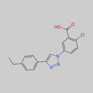 CCc1ccc(-c2cn(-c3ccc(Cl)c(C(=O)O)c3)nn2)cc1